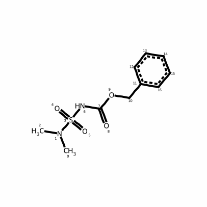 CN(C)S(=O)(=O)NC(=O)OCc1ccccc1